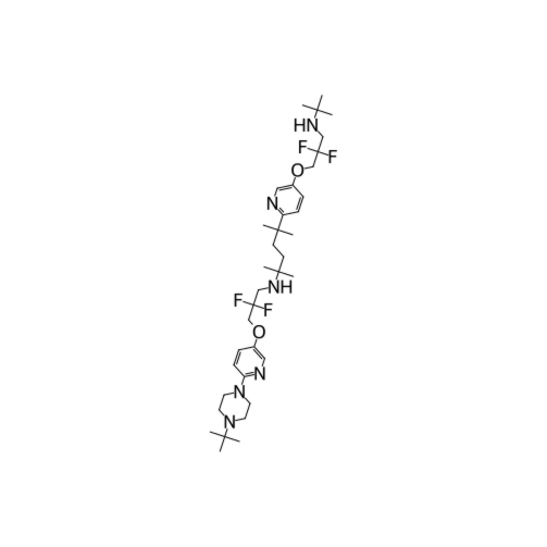 CC(C)(C)NCC(F)(F)COc1ccc(C(C)(C)CCC(C)(C)NCC(F)(F)COc2ccc(N3CCN(C(C)(C)C)CC3)nc2)nc1